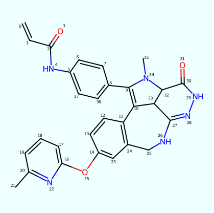 C=CC(=O)Nc1ccc(C2=C3c4ccc(Oc5cccc(C)n5)cc4CNC4=NNC(=O)C(C43)N2C)cc1